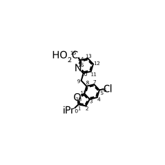 CC(C)c1cc2cc(Cl)cc(Cc3cccc(C(=O)O)n3)c2o1